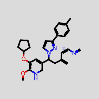 C=N/C=C\C(=C)CC(C1=CC(OC2CCCC2)=C(OC)NC1)n1ccc(-c2ccc(C)cc2)n1